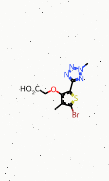 Cc1c(Br)sc(-c2nnn(C)n2)c1OCC(=O)O